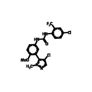 COc1ccc(NC(=O)Nc2ccc(Cl)cc2C(F)(F)F)cc1-c1c(Cl)cnn1C